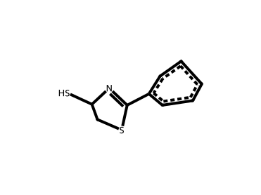 SC1CSC(c2ccccc2)=N1